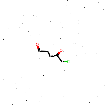 O=[C]CCC(=O)CCl